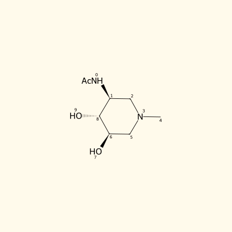 CC(=O)N[C@H]1CN(C)C[C@@H](O)[C@@H]1O